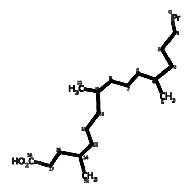 CC(C)CCCC(C)CCCC(C)CCCC(C)CCC(=O)O